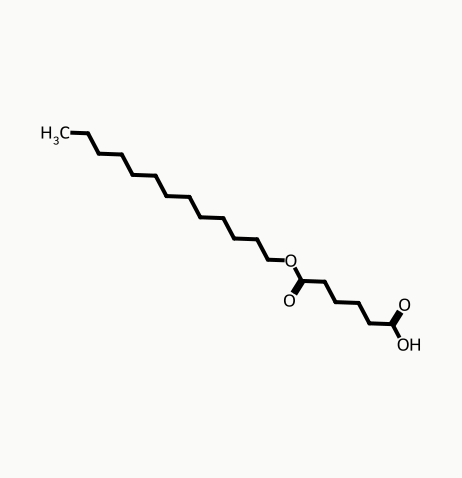 CCCCCCCCCCCCCOC(=O)CCCCC(=O)O